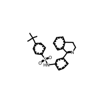 CC(C)(C)c1ccc(S(=O)(=O)Nc2cccc(C3=NCCc4ccccc43)c2)cc1